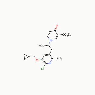 CCOC(=O)c1cn(C(Cc2cc(OCC3CC3)c(Cl)nc2C)C(C)(C)C)ccc1=O